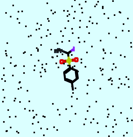 CCCC(I)S(=O)(=O)c1ccc(C)cc1